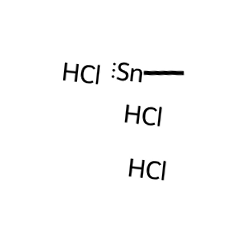 Cl.Cl.Cl.[CH3][Sn]